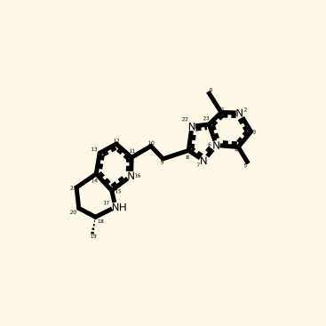 Cc1ncc(C)n2nc(CCc3ccc4c(n3)N[C@H](C)CC4)nc12